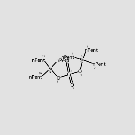 CCCCC[Si](CCCCC)(CCCCC)[O][Cr](=[O])(=[O])[O][Si](CCCCC)(CCCCC)CCCCC